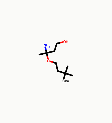 CC(C)COC(C)(C)CCOC(C)(N)CCO